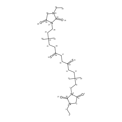 CCN1CC(=O)N(CCC(C)(C)CCC(=S)CCC(=S)CCC(C)(C)CCN2C(=O)CN(CC)C2=O)C1=O